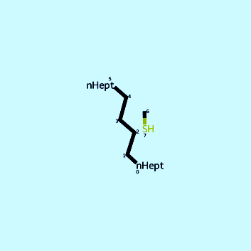 CCCCCCCCCCCCCCCCCC.CS